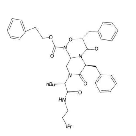 CCCC[C@@H](C(=O)NCCC(C)C)N1CC2N(C(=O)OCCc3ccccc3)O[C@H](Cc3ccccc3)C(=O)N2[C@@H](Cc2ccccc2)C1=O